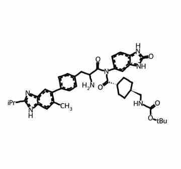 Cc1cc2[nH]c(C(C)C)nc2cc1-c1ccc(CC(N)C(=O)N(c2ccc3[nH]c(=O)[nH]c3c2)C(=O)[C@H]2CC[C@H](CNC(=O)OC(C)(C)C)CC2)cc1